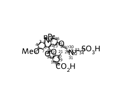 CCC[n+]1c2ccc(OC)cc2c(C(=O)Oc2c(C)cc(C(=O)O)cc2C)c2cc(OCCC[N+](C)(C)CCCS(=O)(=O)O)ccc21